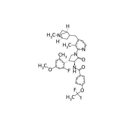 COc1cc(C)c([C@@H]2CN(c3nccc(CC4C[C@@H]5C[C@H]4CN5C)c3C)C(=O)[C@H]2NC(=O)c2ccc(OC(C)(F)I)cc2)c(F)c1